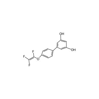 Oc1cc(O)cc(-c2ccc(OC(F)=C(F)F)cc2)c1